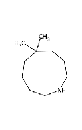 CC1(C)CCCCNCCC1